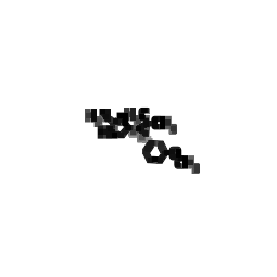 COc1cccc([C@@H]2[C@@H](C3CNC(N)=N3)C2(C)C)c1